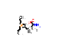 CCC(N)C(=O)O.CCCC[P](CC)(CCCC)CCCC